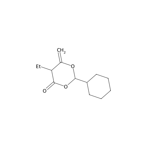 C=C1OC(C2CCCCC2)OC(=O)C1CC